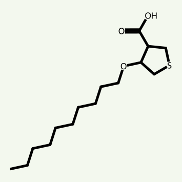 CCCCCCCCCCOC1CSCC1C(=O)O